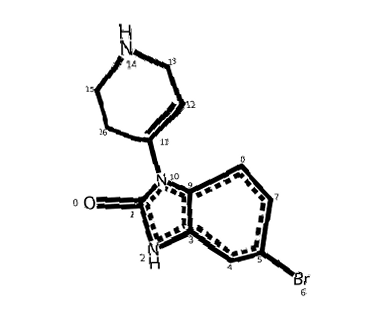 O=c1[nH]c2cc(Br)ccc2n1C1=CCNCC1